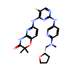 CN(C[C@@H]1CCCO1)c1ccc(Nc2ncc(F)c(Nc3ccc4c(n3)NC(=O)C(C)(C)O4)n2)cn1